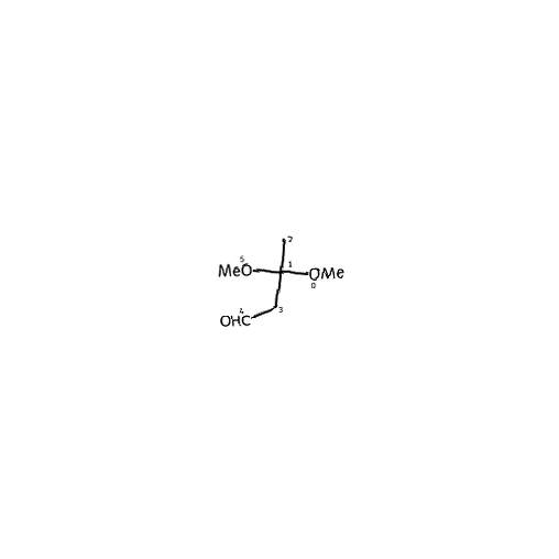 COC(C)(CC=O)OC